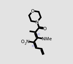 C=C/C=C(\C(NC)=C(/C)C(=O)N1CCOCC1)[N+](=O)[O-]